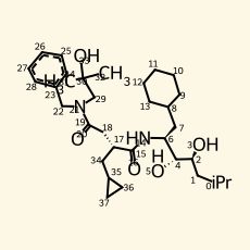 CC(C)C[C@H](O)[C@H](O)[C@H](CC1CCCCC1)NC(=O)[C@@H](CC(=O)N(Cc1ccccc1)CC(C)(C)O)CC1CC1